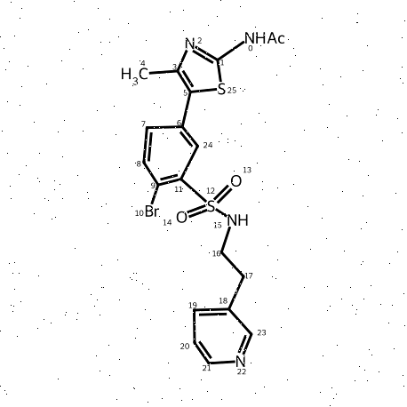 CC(=O)Nc1nc(C)c(-c2ccc(Br)c(S(=O)(=O)NCCc3cccnc3)c2)s1